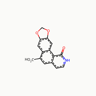 O=C(O)c1cc2cc[nH]c(=O)c2c2cc3c(cc12)OCO3